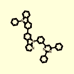 c1ccc(-c2cc(-c3cccc(-n4c5cc(-c6ccc7c8ccccc8n(-c8ccccc8)c7c6)ccc5c5cccnc54)c3)nc(-c3ccccc3)n2)cc1